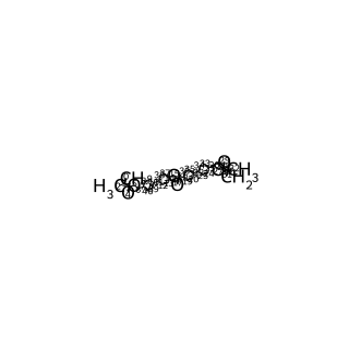 C=C(C)C(=O)OCc1ccc(-c2ccc(OC(=O)c3ccc(-c4ccc(COC(=O)C(=C)C)cc4)cc3)cc2)cc1